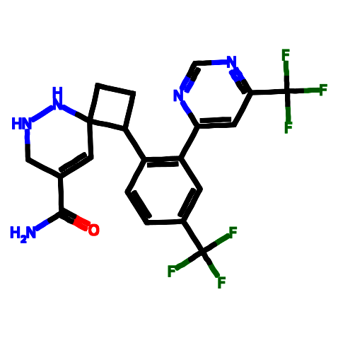 NC(=O)C1=CC2(CCC2c2ccc(C(F)(F)F)cc2-c2cc(C(F)(F)F)ncn2)NNC1